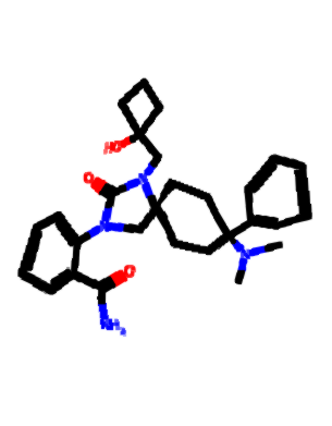 CN(C)[C@]1(c2ccccc2)CC[C@@]2(CC1)CN(c1ccccc1C(N)=O)C(=O)N2CC1(O)CCC1